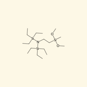 CC[Si](CC)(CC)N(CC[Si](C)(OC)OC)[Si](CC)(CC)CC